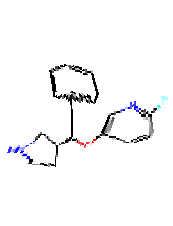 Fc1ccc(OC(c2ccccc2)[C@H]2CCNC2)cn1